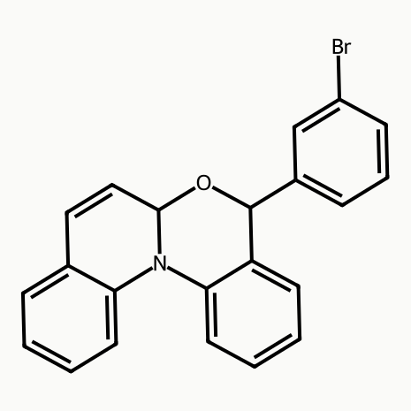 Brc1cccc(C2OC3C=Cc4ccccc4N3c3ccccc32)c1